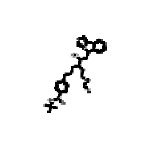 CC(C)(C)N[S+]([O-])c1ccc(CCCC(CCNC=O)C(O)CC2c3ccccc3-c3cncn32)cc1